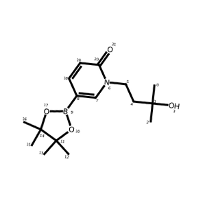 CC(C)(O)CCn1cc(B2OC(C)(C)C(C)(C)O2)ccc1=O